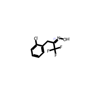 O/N=C(/Cc1ccccc1Cl)C(F)(F)F